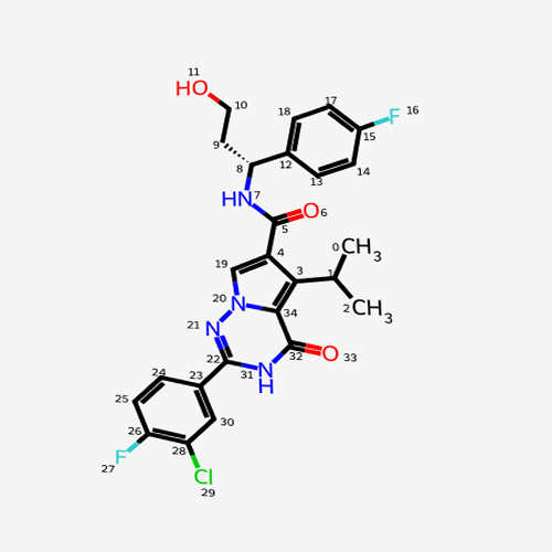 CC(C)c1c(C(=O)N[C@H](CCO)c2ccc(F)cc2)cn2nc(-c3ccc(F)c(Cl)c3)[nH]c(=O)c12